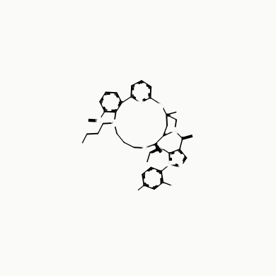 C=Nc1cccc2c1N(CCCC)CCCNC(=C)C1CC(C)(CN1C(=C)c1cnn(-c3ccc(F)cc3F)c1/N=C\C)Nc1cccc-2n1